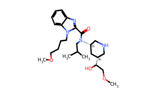 COCCCCn1c(C(=O)N(CC(C)C)[C@@H]2CNC[C@H](C(O)COC)C2)nc2ccccc21